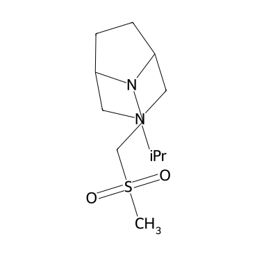 CC(C)N1CC2CCC(C1)N2CCS(C)(=O)=O